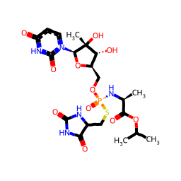 CC(C)OC(=O)[C@H](C)N[P@](=O)(OC[C@H]1O[C@@H](n2ccc(=O)[nH]c2=O)[C@](C)(O)[C@@H]1O)SCC1NC(=O)NC1=O